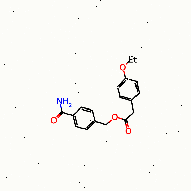 CCOc1ccc(CC(=O)OCc2ccc(C(N)=O)cc2)cc1